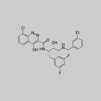 CCc1cccc(CNC[C@@H](O)[C@H](Cc2cc(F)cc(F)c2)NC(=O)c2nnc3c(Cl)cccc3c2O)c1